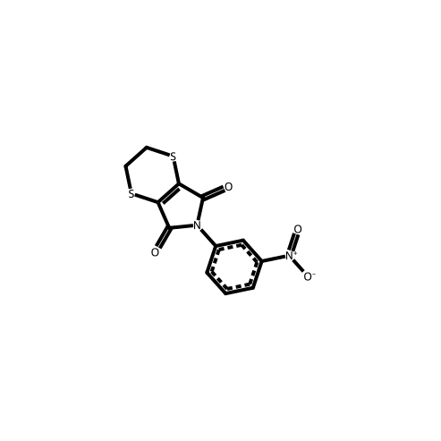 O=C1C2=C(SCCS2)C(=O)N1c1cccc([N+](=O)[O-])c1